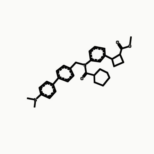 COC(=O)C1CCC1c1cccc(N(Cc2ccc(-c3ccc(N(C)C)cc3)cc2)C(=O)C2CCCCC2)c1